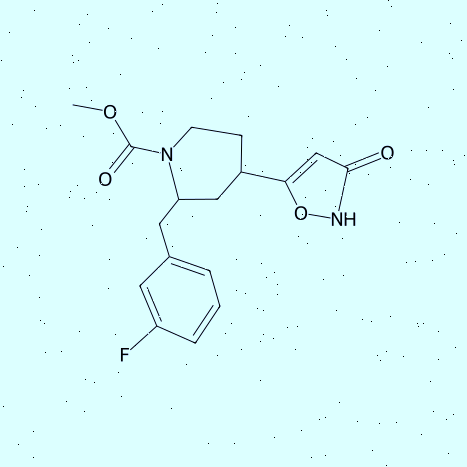 COC(=O)N1CCC(c2cc(=O)[nH]o2)CC1Cc1cccc(F)c1